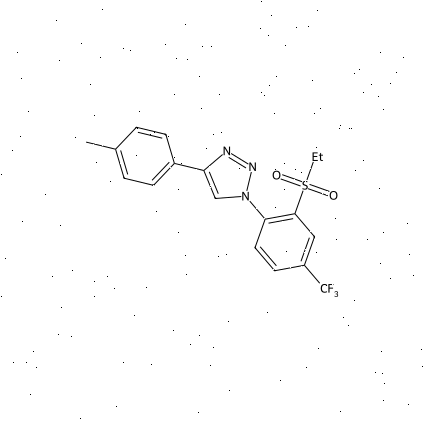 CCS(=O)(=O)c1cc(C(F)(F)F)ccc1-n1cc(-c2ccc(C)cc2)nn1